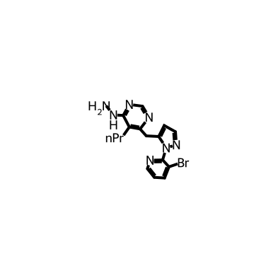 CCCc1c(Cc2ccnn2-c2ncccc2Br)ncnc1NN